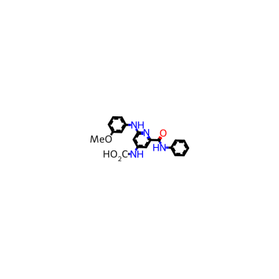 COc1cccc(Nc2cc(NC(=O)O)cc(C(=O)Nc3ccccc3)n2)c1